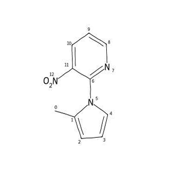 Cc1cccn1-c1ncccc1[N+](=O)[O-]